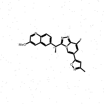 COc1cnc2ccc([C@H](C)c3nnc4c(F)cc(-c5cc(C)no5)cn34)cc2c1